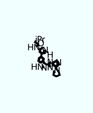 CC(C)CC(=O)Nc1cncc(-c2ccc3[nH]nc(-c4nc5c(N6CCCCC6)cncc5[nH]4)c3c2)c1